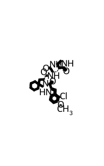 COc1ccc2[nH]c(C(=O)N3CC4(CCCCC4)C[C@@H]3C(=O)N[C@@H](C[C@@H]3CCNC3=O)C(N)=O)cc2c1Cl